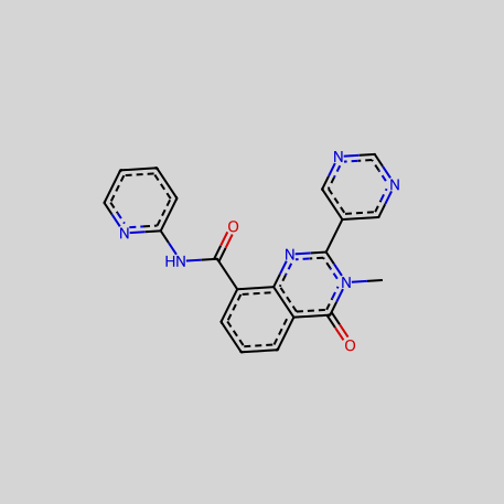 Cn1c(-c2cncnc2)nc2c(C(=O)Nc3ccccn3)cccc2c1=O